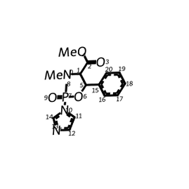 CNC(C(=O)OC)C(OP(C)(=O)n1ccnc1)c1ccccc1